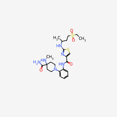 CCS(=O)(=O)CCC(C)Nc1nc(C(=O)Nc2ccccc2N2CCC(NC)(C(N)=O)CC2)cs1